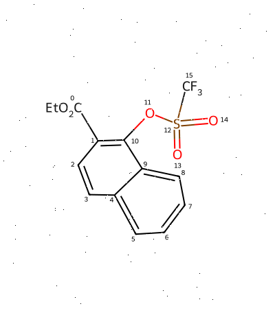 CCOC(=O)c1ccc2ccccc2c1OS(=O)(=O)C(F)(F)F